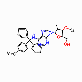 CCOC1C(C)[C@H](n2cnc3c(NC(c4ccccc4)(c4ccccc4)c4ccc(OC)cc4)ncnc32)O[C@@H]1CO